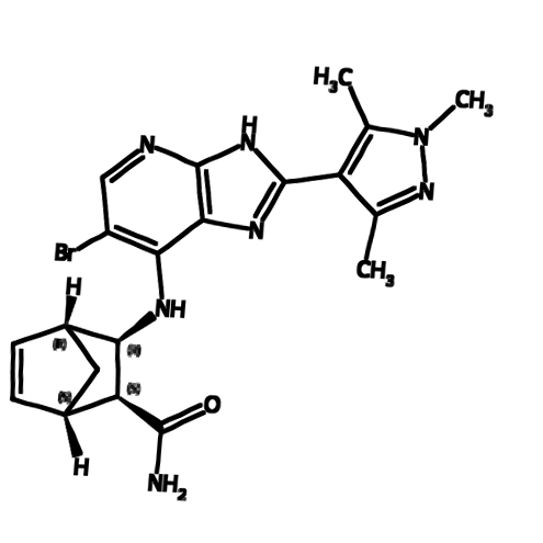 Cc1nn(C)c(C)c1-c1nc2c(N[C@H]3[C@@H](C(N)=O)[C@@H]4C=C[C@H]3C4)c(Br)cnc2[nH]1